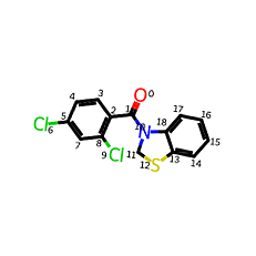 O=C(c1ccc(Cl)cc1Cl)N1CSc2ccccc21